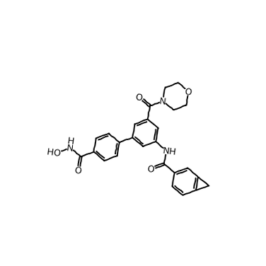 O=C(NO)c1ccc(-c2cc(NC(=O)c3ccc4c(c3)C4)cc(C(=O)N3CCOCC3)c2)cc1